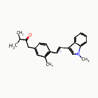 Cc1cc(CC(=O)C(C)C)ccc1/C=C/c1cn(C)c2ccccc12